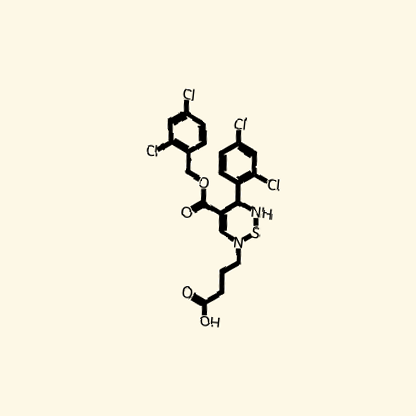 O=C(O)CCCN1C=C(C(=O)OCc2ccc(Cl)cc2Cl)C(c2ccc(Cl)cc2Cl)NS1